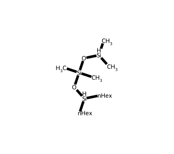 CCCCCC[SiH](CCCCCC)O[Si](C)(C)O[SiH](C)C